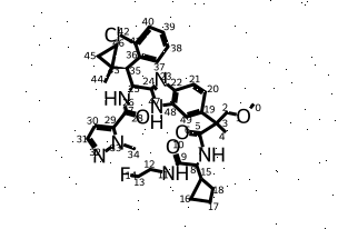 COCC(C)(C(=O)N[C@@H](C(=O)NCCF)C1CCC1)c1ccc2nc([C@@H](NC(=O)c3ccnn3C)[C@H](c3ccccc3Cl)C3(C)CC3)[nH]c2c1